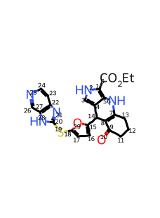 CCOC(=O)c1[nH]cc2c1NC1=C(C(=O)CCC1)C2c1ccc(Sc2nc3ccncc3[nH]2)o1